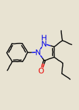 CCCc1c(C(C)C)[nH]n(-c2cccc(C)c2)c1=O